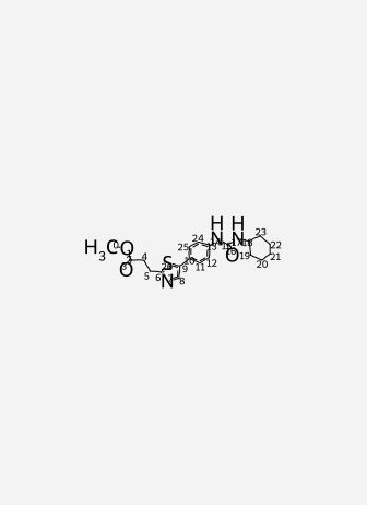 COC(=O)CCc1ncc(-c2ccc(NC(=O)NC3CCCCC3)cc2)s1